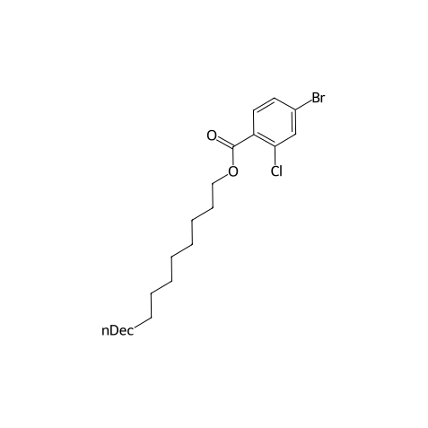 CCCCCCCCCCCCCCCCCCOC(=O)c1ccc(Br)cc1Cl